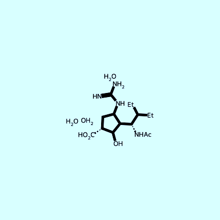 CCC(CC)[C@H](NC(C)=O)C1C(NC(=N)N)C[C@@H](C(=O)O)C1O.O.O.O